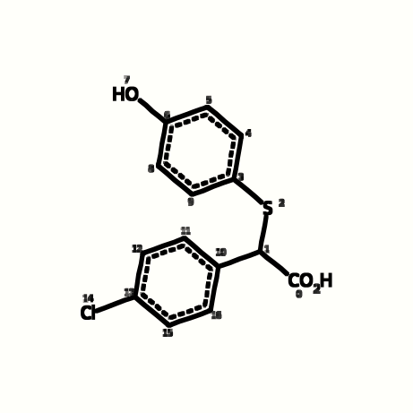 O=C(O)C(Sc1ccc(O)cc1)c1ccc(Cl)cc1